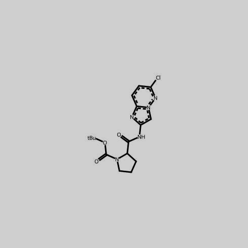 CC(C)(C)OC(=O)N1CCCC1C(=O)Nc1cn2nc(Cl)ccc2n1